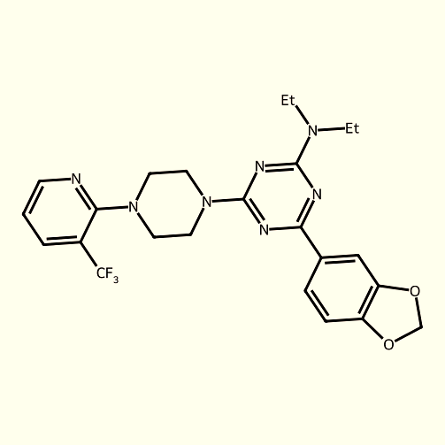 CCN(CC)c1nc(-c2ccc3c(c2)OCO3)nc(N2CCN(c3ncccc3C(F)(F)F)CC2)n1